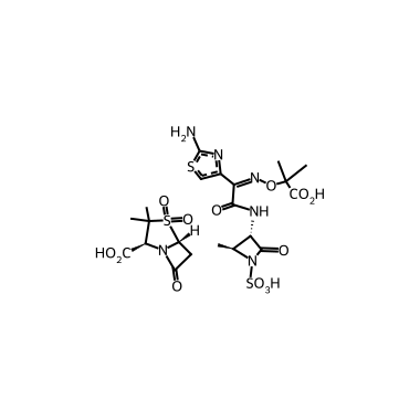 CC1(C)[C@H](C(=O)O)N2C(=O)C[C@H]2S1(=O)=O.C[C@H]1[C@H](NC(=O)/C(=N\OC(C)(C)C(=O)O)c2csc(N)n2)C(=O)N1S(=O)(=O)O